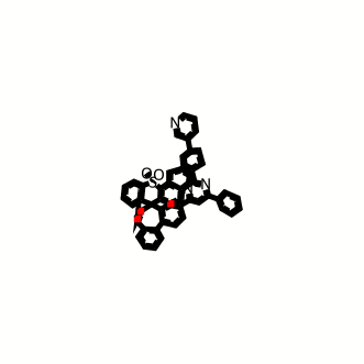 O=S1(=O)c2ccccc2C2(c3ccccc3-c3ccccc3-c3ccc(-c4cc(-c5ccccc5)nc(-c5ccc(-c6cccnc6)cc5)n4)cc32)c2ccc3ccccc3c21